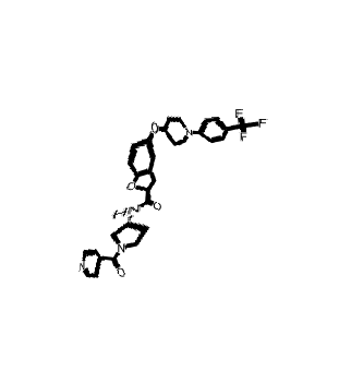 O=C(N[C@@H]1CCN(C(=O)c2ccncc2)C1)C1Cc2cc(OC3CCN(c4ccc(C(F)(F)F)cc4)CC3)ccc2O1